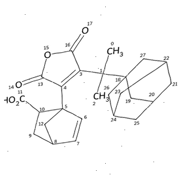 CC(C)(C1=C(C23C=CC(CC2C(=O)O)C3)C(=O)OC1=O)C12CC3CC(CC(C3)C1)C2